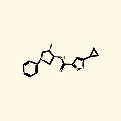 C[C@@H]1CN(c2ccncc2)C[C@@H]1NC(=O)c1cc(C2CC2)on1